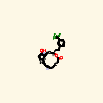 O=C1CCC/C=C\C[C@H]2C=CC(O)/C2=C/C[C@H](CCc2cccc(C(F)(F)F)c2)O1